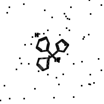 [H-].[Hf][C](C1=CC=CC1)(C1=CC=CC1)c1ccccc1